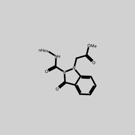 CCCCCCNC(=O)n1c(=O)c2ccccc2n1CC(=O)OC